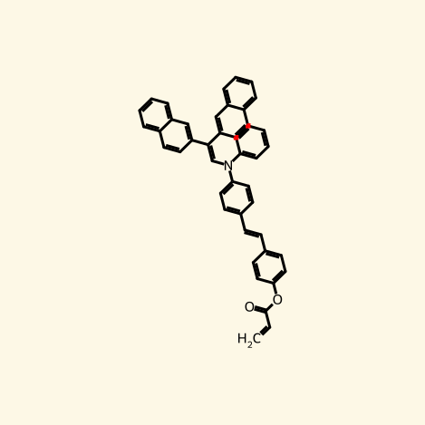 C=CC(=O)Oc1ccc(C=Cc2ccc(N(C=C(c3ccc4ccccc4c3)c3ccc4ccccc4c3)c3ccccc3)cc2)cc1